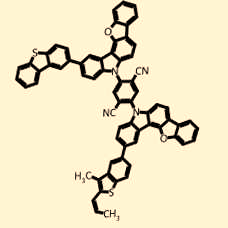 C/C=C\c1sc2ccc(-c3ccc4c(c3)c3c5oc6ccccc6c5ccc3n4-c3cc(C#N)c(-n4c5ccc(-c6ccc7sc8ccccc8c7c6)cc5c5c6oc7ccccc7c6ccc54)cc3C#N)cc2c1C